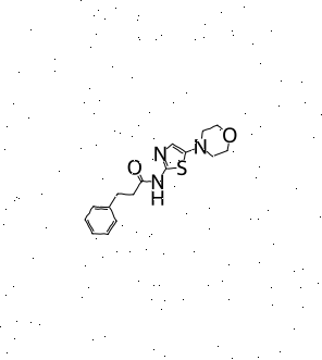 O=C(CCc1ccccc1)Nc1ncc(N2CCOCC2)s1